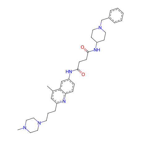 Cc1cc(CCCN2CCN(C)CC2)nc2ccc(NC(=O)CCC(=O)NC3CCN(Cc4ccccc4)CC3)cc12